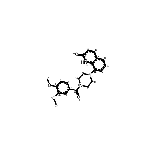 COc1ccc(C(=O)N2CCN(c3cccc4ccc(=O)[nH]c34)CC2)cc1OC